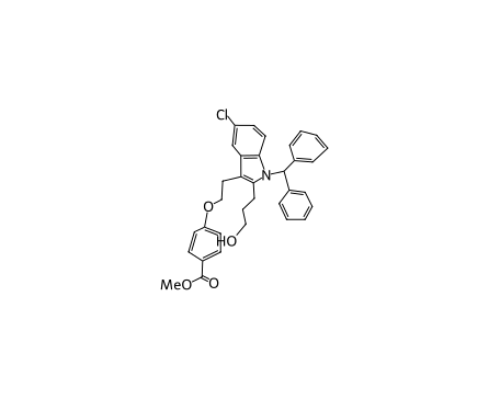 COC(=O)c1ccc(OCCc2c(CCCO)n(C(c3ccccc3)c3ccccc3)c3ccc(Cl)cc23)cc1